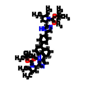 C[C@@H]1C[C@@H](c2ncc(-c3ccc(-c4cccc5c(-c6cnc([C@@H]7C[C@@H](C)[C@@H](C)N7C(=O)OC(C)(C)C)[nH]6)cccc45)cc3)[nH]2)N(C(=O)OC(C)(C)C)[C@@H]1C